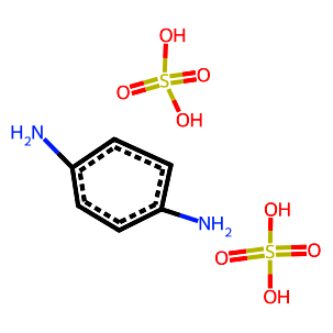 Nc1ccc(N)cc1.O=S(=O)(O)O.O=S(=O)(O)O